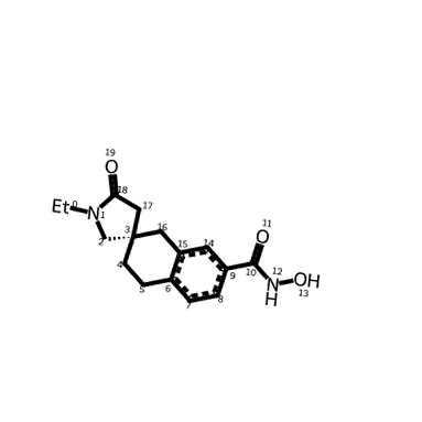 CCN1C[C@]2(CCc3ccc(C(=O)NO)cc3C2)CC1=O